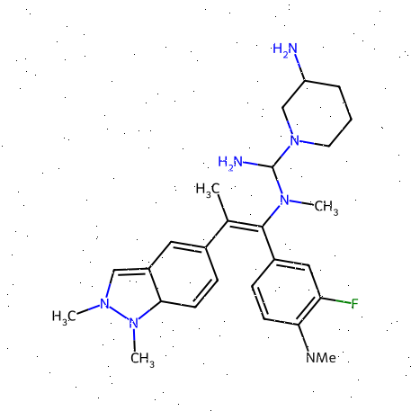 CNc1ccc(/C(=C(/C)C2=CC3=CN(C)N(C)C3C=C2)N(C)C(N)N2CCCC(N)C2)cc1F